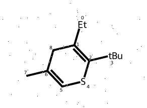 CCC1=C(C(C)(C)C)SC=C(C)C1